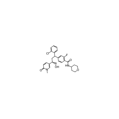 Cn1cc(C(CC(c2ccc(C(=O)NC3CCOCC3)c(F)c2)c2ccccc2Cl)=NO)ccc1=O